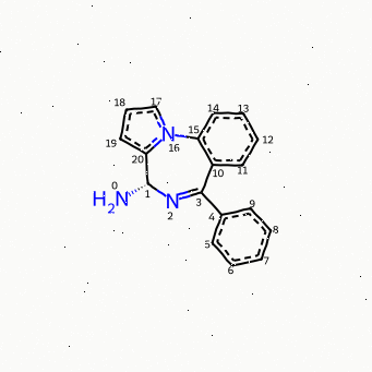 N[C@H]1N=C(c2ccccc2)c2ccccc2-n2cccc21